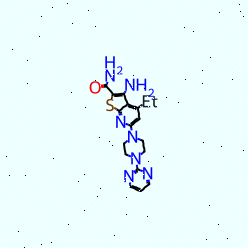 CCc1cc(N2CCN(c3ncccn3)CC2)nc2sc(C(N)=O)c(N)c12